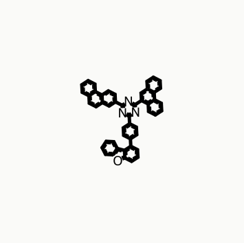 c1ccc2c(c1)ccc1cc(-c3nc(-c4ccc(-c5cccc6oc7ccccc7c56)cc4)nc(-c4cc5ccccc5c5ccccc45)n3)ccc12